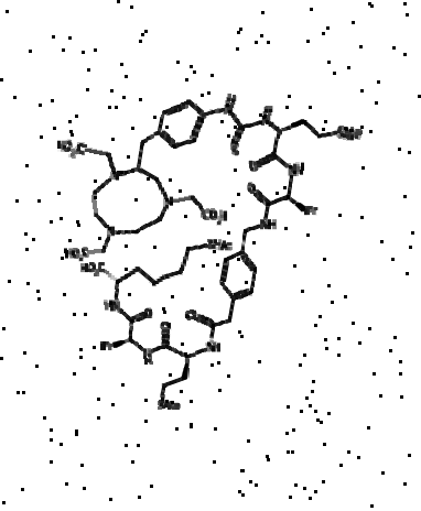 CSCC[C@H](NC(=O)Cc1ccc(CNC(=O)[C@@H](NC(=O)[C@H](CCSC)NC(=S)Nc2ccc(CC3CN(CC(=O)O)CCN(CC(=O)O)CCN3CC(=O)O)cc2)C(C)C)cc1)C(=O)N[C@H](C(=O)N[C@@H](CCCCNC(C)=O)C(=O)O)C(C)C